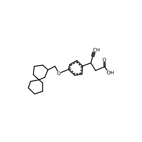 C#CC(CC(=O)O)c1ccc(OCC2CCCC3(CCCCC3)C2)cc1